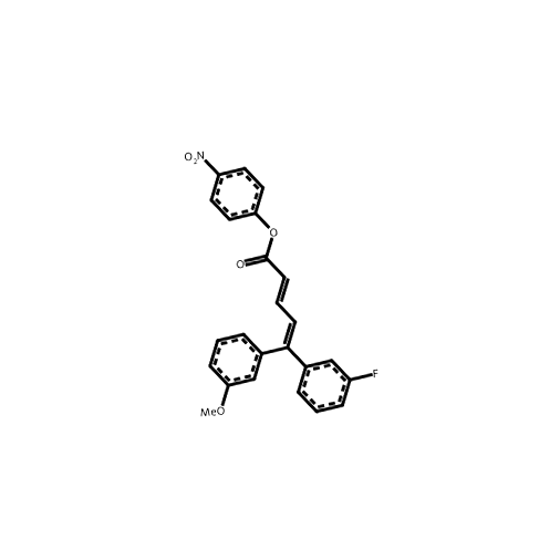 COc1cccc(/C(=C\C=C\C(=O)Oc2ccc([N+](=O)[O-])cc2)c2cccc(F)c2)c1